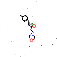 Cc1ccc(/C=C/C(=O)CCN2CCOCC2)cc1.Cl